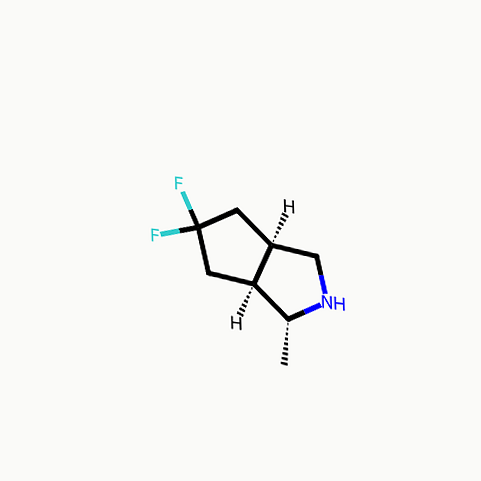 C[C@H]1NC[C@@H]2CC(F)(F)C[C@@H]21